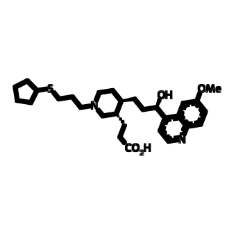 COc1ccc2nccc([C@H](O)CC[C@@H]3CCN(CCCSC4CCCC4)C[C@H]3CCC(=O)O)c2c1